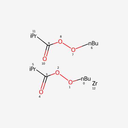 CCCCOOC(=O)C(C)C.CCCCOOC(=O)C(C)C.[Zr]